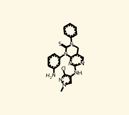 Cn1cc(Nc2ncc3c(n2)N(c2cccc(N)c2)C(=S)N(c2ccccc2)C3)c(Cl)n1